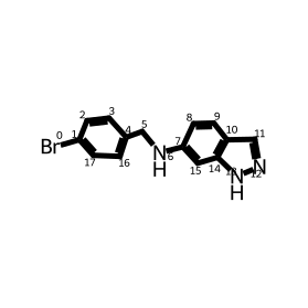 Brc1ccc(CNc2ccc3cn[nH]c3c2)cc1